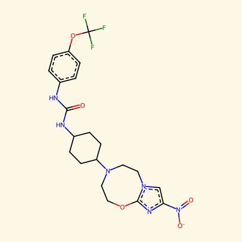 O=C(Nc1ccc(OC(F)(F)F)cc1)NC1CCC(N2CCOc3nc([N+](=O)[O-])cn3CC2)CC1